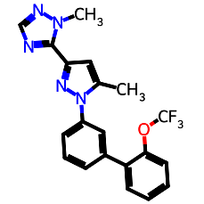 Cc1cc(-c2ncnn2C)nn1-c1cccc(-c2ccccc2OC(F)(F)F)c1